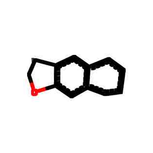 [C]1COc2cc3ccccc3cc21